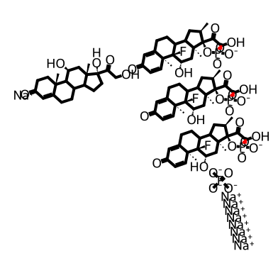 C[C@@H]1CC2C3CCC4=CC(=O)C=C[C@]4(C)[C@@]3(F)[C@@H](O)C[C@]2(C)[C@@]1(OP(=O)([O-])[O-])C(=O)CO.C[C@@H]1CC2C3CCC4=CC(=O)C=C[C@]4(C)[C@@]3(F)[C@@H](O)C[C@]2(C)[C@@]1(OP(=O)([O-])[O-])C(=O)CO.C[C@@H]1CC2C3CCC4=CC(=O)C=C[C@]4(C)[C@@]3(F)[C@@H](O)C[C@]2(C)[C@@]1(OP(=O)([O-])[O-])C(=O)CO.C[C@]12CCC(=O)C=C1CCC1C2[C@@H](O)C[C@@]2(C)C1CC[C@]2(O)C(=O)CO.O=P([O-])([O-])[O-].[Na+].[Na+].[Na+].[Na+].[Na+].[Na+].[Na+].[Na+].[Na+]